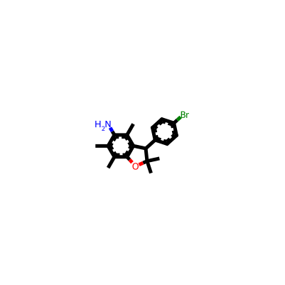 Cc1c(C)c2c(c(C)c1N)C(c1ccc(Br)cc1)C(C)(C)O2